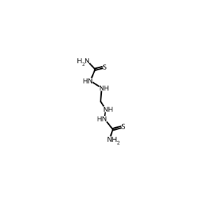 NC(=S)NNCNNC(N)=S